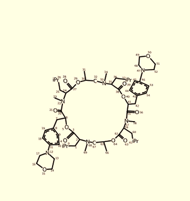 CC(C)CC1C(=O)OC(Cc2ccc(N3CCOCC3)cc2)C(=O)N(C)C(CC(C)C)C(=O)OC(C)CN(C)C(CC(C)C)C(=O)OC(Cc2ccc(N3CCOCC3)cc2)C(=O)N(C)C(CC(C)C)C(=O)OC(C)CN1C